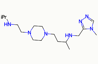 CC(C)NCCN1CCN(CCC(C)NCc2nncn2C)CC1